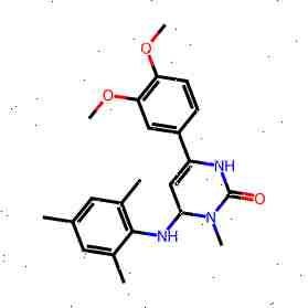 COc1ccc(C2=CC(Nc3c(C)cc(C)cc3C)N(C)C(=O)N2)cc1OC